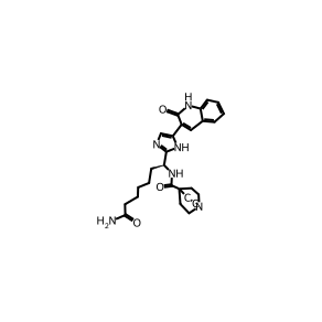 NC(=O)CCCCC[C@H](NC(=O)C12CCN(CC1)CC2)c1ncc(-c2cc3ccccc3[nH]c2=O)[nH]1